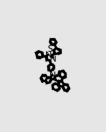 c1ccc(-c2cc(-c3ccc(-n4c5c6ccccc6ccc5c5c6c(c7ccccc7c54)-c4ccccc4C64CCCCC4)cc3)nc(-c3cccc4c3sc3ccccc34)n2)cc1